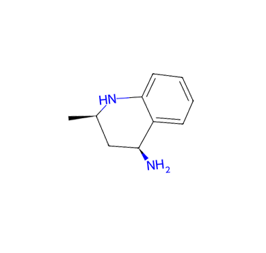 C[C@@H]1C[C@H](N)c2ccccc2N1